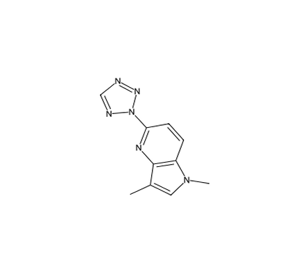 Cc1cn(C)c2ccc(-n3ncnn3)nc12